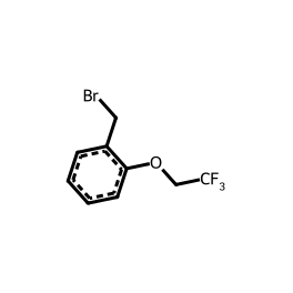 FC(F)(F)COc1ccccc1CBr